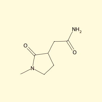 CN1CCC(CC(N)=O)C1=O